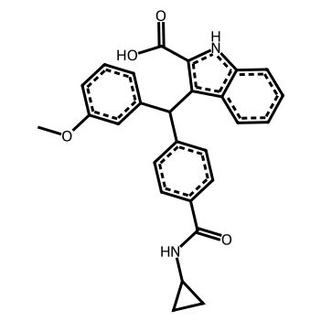 COc1cccc(C(c2ccc(C(=O)NC3CC3)cc2)c2c(C(=O)O)[nH]c3ccccc23)c1